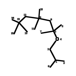 CC(C)COC(C)(C)CC(C)(C)CC(C)(C)C